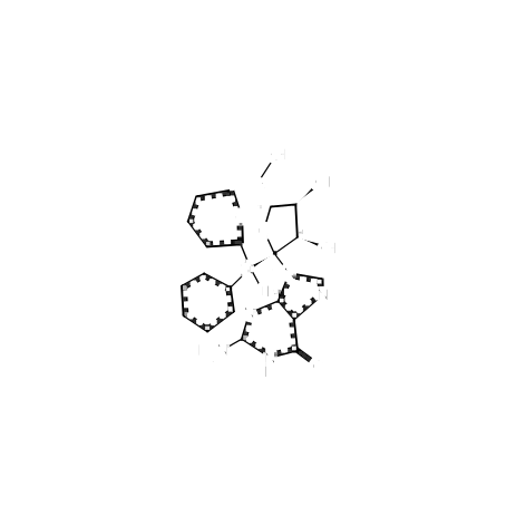 CC(C)(C)[Si](c1ccccc1)(c1ccccc1)[C@@]1(n2cnc3c(=O)[nH]c(N)nc32)O[C@H](CO)[C@@H](O)[C@H]1O